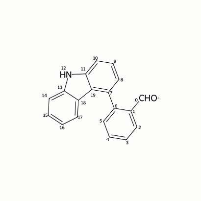 O=[C]c1ccccc1-c1cccc2[nH]c3ccccc3c12